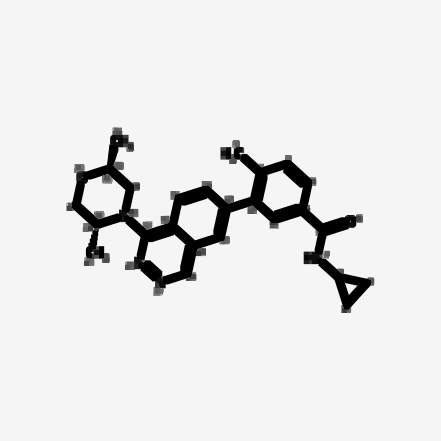 Cc1ccc(C(=O)NC2CC2)cc1-c1ccc2c(N3C[C@H](C)OC[C@H]3C)nncc2c1